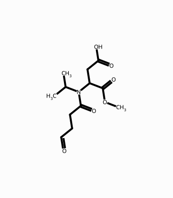 COC(=O)C(CC(=O)O)N(C(=O)CCC=O)C(C)C